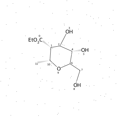 CCOC(=O)[C@@H]1C(O)[C@H](O)C(CO)O[C@@H]1C